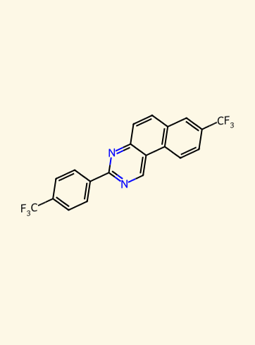 FC(F)(F)c1ccc(-c2ncc3c(ccc4cc(C(F)(F)F)ccc43)n2)cc1